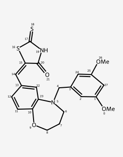 COc1cc(CN2CCCOc3ccc(C=C4SC(=S)NC4=O)cc32)cc(OC)c1